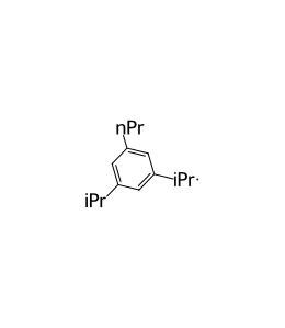 CCCc1cc([C](C)C)cc(C(C)C)c1